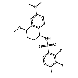 COC1CCC(NS(=O)(=O)c2ccc(F)c(F)c2F)c2ccc(N(C)C)cc21